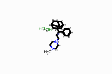 CN1CCN(C/C=C(\c2ccccc2)C23CC4CC(CC(C4)C2)C3)CC1.Cl.Cl